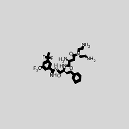 CC(F)(F)c1cc(C(=N)NC(=O)[C@H](CCc2ccccc2)NC(=O)[C@@H](N)CC(=O)N(CCN)CCN)cc(C(F)(F)F)c1